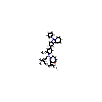 C=CCN(/C1=C/C2=CC(/C=C\C1)OC(C)=C2C=C=C/C=C\C)c1ccc(-c2ccc3c(c2)c2c(n3-c3ccccc3)C=CC=CC2)cc1C